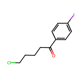 O=C(CCCCCl)c1ccc(I)cc1